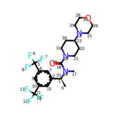 C[C@@H](c1cc(C(F)(F)F)cc(C(F)(F)F)c1)N(C)C(=O)N1CCC(N2CCOCC2)CC1